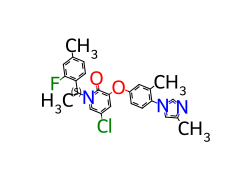 Cc1ccc([C@H](C)n2cc(Cl)cc(Oc3ccc(-n4cnc(C)c4)c(C)c3)c2=O)c(F)c1